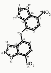 O=[N+]([O-])c1ccc(Sc2ccc([N+](=O)[O-])c3onnc23)c2nnoc12